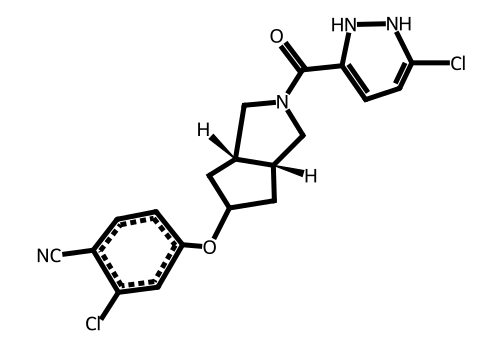 N#Cc1ccc(OC2C[C@@H]3CN(C(=O)C4=CC=C(Cl)NN4)C[C@@H]3C2)cc1Cl